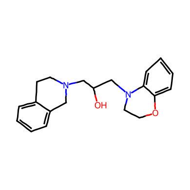 OC(CN1CCc2ccccc2C1)CN1CCOc2ccccc21